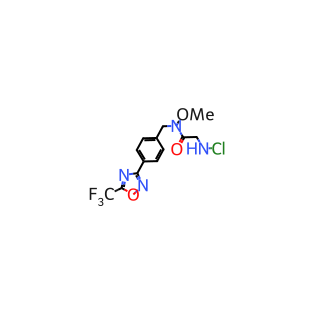 CON(Cc1ccc(-c2noc(C(F)(F)F)n2)cc1)C(=O)CNCl